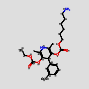 CC1=C(OC(=O)OCCCCCCN)C(c2cccc([N+](=O)[O-])c2)C(OC(=O)OCC(C)(C)C)=C(C)N1